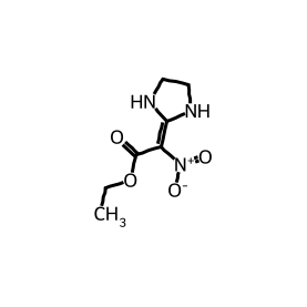 CCOC(=O)C(=C1NCCN1)[N+](=O)[O-]